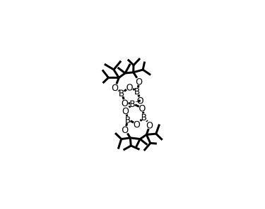 CC(C)C1(C(C)C)OB2OB(O[B-]3(O2)OB2OB(O3)OC(C(C)C)(C(C)C)C(C)(C)C(C(C)C)(C(C)C)O2)OC(C(C)C)(C(C)C)C1(C)C